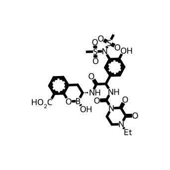 CCN1CCN(C(=O)NC(C(=O)N[C@H]2Cc3cccc(C(=O)O)c3OB2O)c2ccc(O)c(N(S(C)(=O)=O)S(C)(=O)=O)c2)C(=O)C1=O